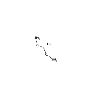 [HH].[SiH3][O][Al][O][SiH3]